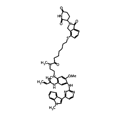 C=CC(=O)Nc1cc(Nc2nccc(-c3cn(C)c4ccccc34)n2)c(OC)cc1N(C)CCN(C)C(=O)CCCCCCSc1cccc2c1CN(C1CCC(=O)NC1=O)C2=O